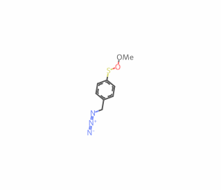 COOSc1ccc(CN=[N+]=[N-])cc1